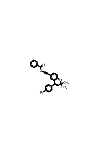 CC(C)c1ccc(C2=CC(C)(C)Oc3ccc(C#COC(=O)c4ccccc4)cc32)cc1